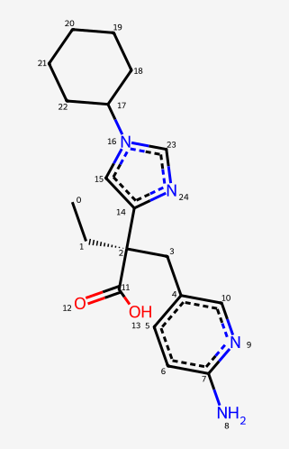 CC[C@](Cc1ccc(N)nc1)(C(=O)O)c1cn(C2CCCCC2)cn1